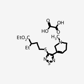 CCOC(=O)C(CC)CCSc1nsnc1C1=CCCN(C)C1.O=C(O)C(=O)O